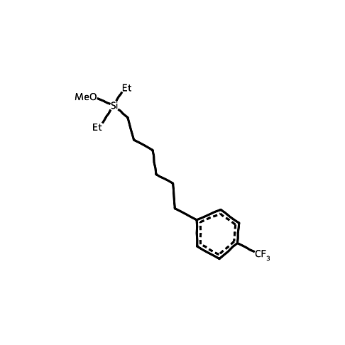 CC[Si](CC)(CCCCCCc1ccc(C(F)(F)F)cc1)OC